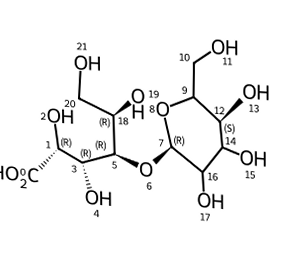 O=C(O)[C@H](O)[C@@H](O)[C@H](O[C@H]1OC(CO)[C@@H](O)C(O)C1O)[C@H](O)CO